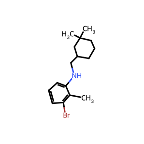 Cc1c(Br)cccc1NCC1CCCC(C)(C)C1